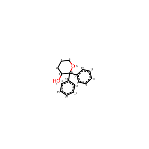 OC1CCCOC1(c1ccccc1)c1ccccc1